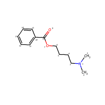 CN(C)CCCCOC(=O)c1ccccc1